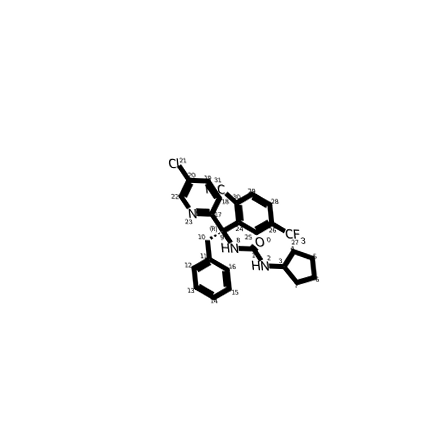 O=C(NC1CCCC1)N[C@@](Cc1ccccc1)(c1ccc(Cl)cn1)c1cc(C(F)(F)F)ccc1C(F)(F)F